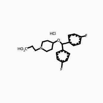 Cl.O=C(O)CCN1CCC(OC(c2ccc(F)cc2)c2ccc(F)cc2)CC1